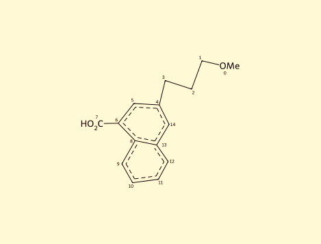 COCCCc1cc(C(=O)O)c2ccccc2c1